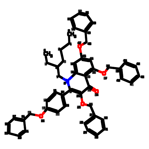 CCCCC(CC)Cn1c(-c2ccc(OCc3ccccc3)cc2)c(OCc2ccccc2)c(=O)c2c(OCc3ccccc3)cc(OCc3ccccc3)cc21